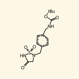 CC(C)(C)OC(=O)NCc1ccc(CN2CC(=O)NS2(=O)=O)cc1